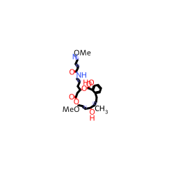 CO/N=C/C=C/C(=O)N/C=C/CC1CC(=O)OC(OC)/C=C/C(O)/C(C)=C\Cc2cccc(O)c2C(=O)O1